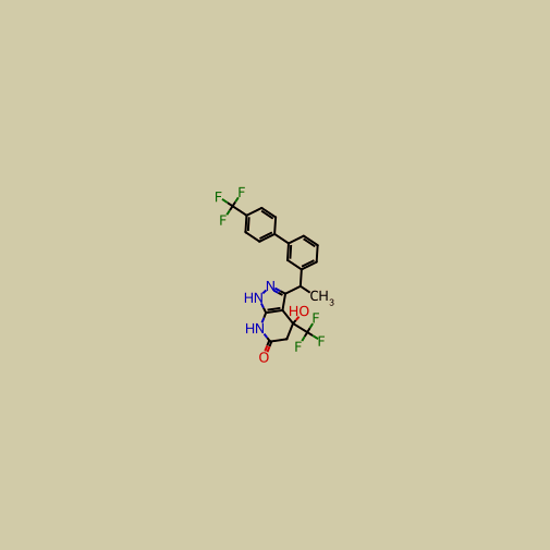 CC(c1cccc(-c2ccc(C(F)(F)F)cc2)c1)c1n[nH]c2c1C(O)(C(F)(F)F)CC(=O)N2